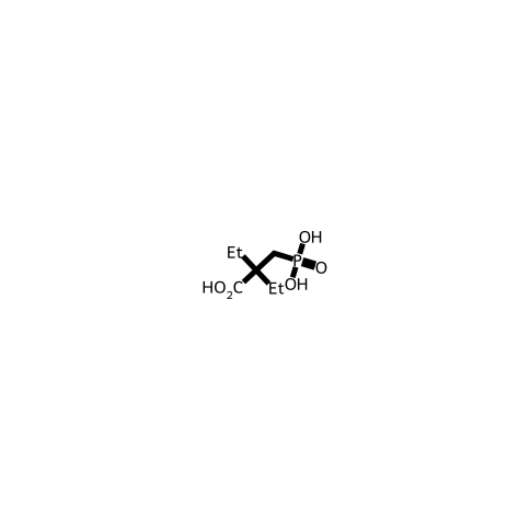 CCC(CC)(CP(=O)(O)O)C(=O)O